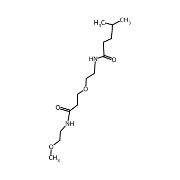 COCCNC(=O)CCOCCNC(=O)CCC(C)C